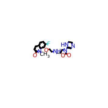 Cn1c(=O)ccc2ccc(F)c(OCCNC[C@@H]3CN(C4=CN=CCN4)C(=O)O3)c21